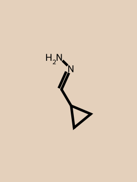 NN=CC1CC1